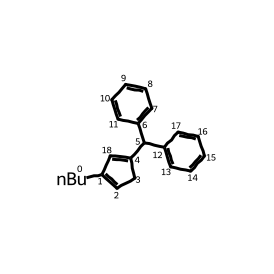 CCCCC1=CCC(C(c2ccccc2)c2ccccc2)=C1